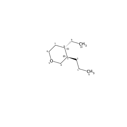 CCC[C@H]1COCC[C@@H]1CC